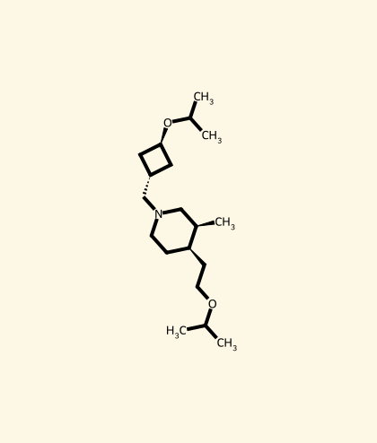 CC(C)OCC[C@H]1CCN(C[C@H]2C[C@H](OC(C)C)C2)C[C@H]1C